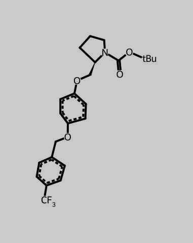 CC(C)(C)OC(=O)N1CCC[C@@H]1COc1ccc(OCc2ccc(C(F)(F)F)cc2)cc1